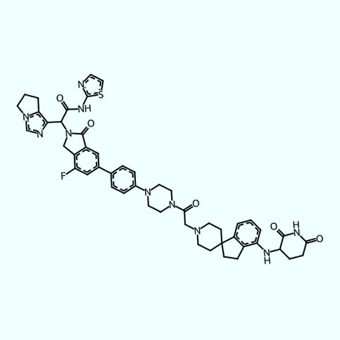 O=C1CCC(Nc2cccc3c2CCC32CCN(CC(=O)N3CCN(c4ccc(-c5cc(F)c6c(c5)C(=O)N(C(C(=O)Nc5nccs5)c5ncn7c5CCC7)C6)cc4)CC3)CC2)C(=O)N1